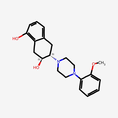 COc1ccccc1N1CCN([C@H]2Cc3cccc(O)c3C[C@@H]2O)CC1